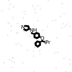 CC(C)C(Oc1ccc(CNc2ccncc2)cc1)c1ccccc1